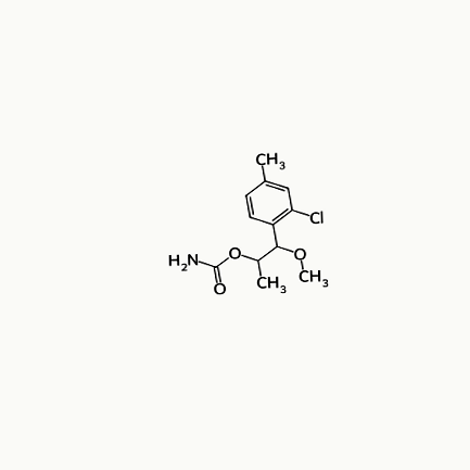 COC(c1ccc(C)cc1Cl)C(C)OC(N)=O